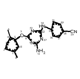 Cc1ccc(C)c(Oc2nc(N)nc(Nc3ccc(C#N)cc3)n2)c1